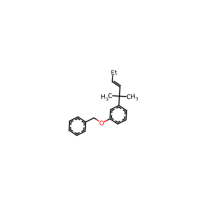 CCC=CC(C)(C)c1cccc(OCc2ccccc2)c1